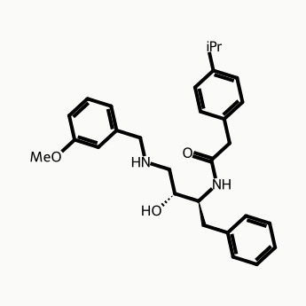 COc1cccc(CNC[C@@H](O)[C@H](Cc2ccccc2)NC(=O)Cc2ccc(C(C)C)cc2)c1